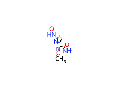 CCO/N=C(\C([NH])=O)c1csc(NC=O)n1